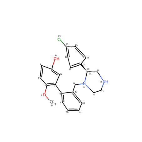 Oc1ccc(OC(F)(F)F)c(-c2ccccc2CN2CCNC[C@@H]2c2ccc(Cl)cc2)c1